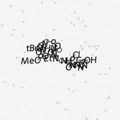 CCOc1cc(OC)ccc1CN(CC(=O)N1CCCC(c2cccc(C(=O)N[C@@H](C(=O)N3CCN(CC4CCN(CC[C@@H](C(=O)N5CCN(c6ncnc7c6[C@H](C)C[C@H]7O)CC5)c5ccc(Cl)cc5)CC4)CC3)C3CCCCC3)c2)C1)C(=O)OC(C)(C)C